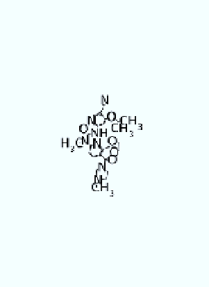 CC(C)Oc1cc(NC(=O)N(C)c2ccc(C(=O)N3CCN(C)CC3)c(C3OCCO3)n2)ncc1C#N